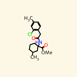 COC(=O)C1(NC(=O)Cc2ccc(C)cc2Cl)CCCC(C)C1